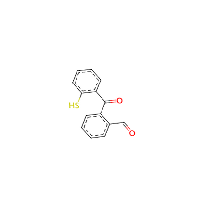 O=Cc1ccccc1C(=O)c1ccccc1S